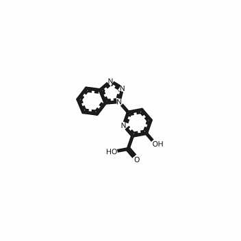 O=C(O)c1nc(-n2nnc3ccccc32)ccc1O